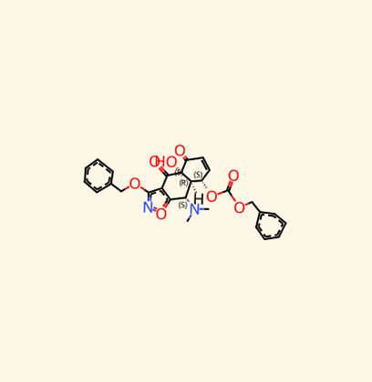 CN(C)[C@@H]1c2onc(OCc3ccccc3)c2C(=O)[C@@]2(O)C(=O)C=C[C@H](OC(=O)OCc3ccccc3)[C@@H]12